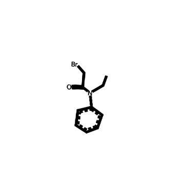 CCN(C(=O)CBr)c1ccccc1